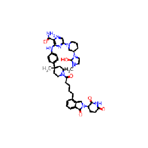 CN1CCN([C@@H]2CCCN(c3cnc(C(N)=O)c(Nc4ccc(C5(C)CCN(C(=O)CCCCc6cccc7c6CN(C6CCC(=O)NC6=O)C7=O)CC5)cc4)n3)C2)C1O